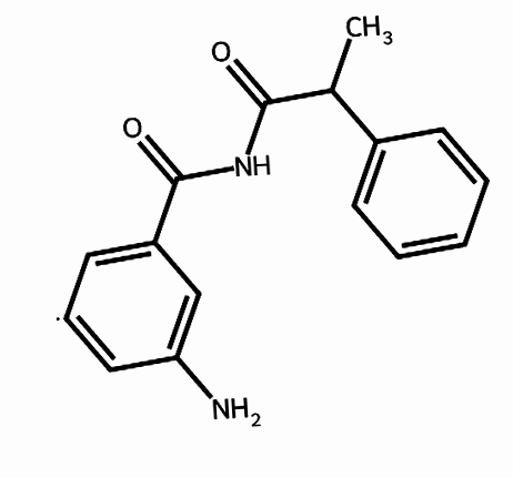 CC(C(=O)NC(=O)c1c[c]cc(N)c1)c1ccccc1